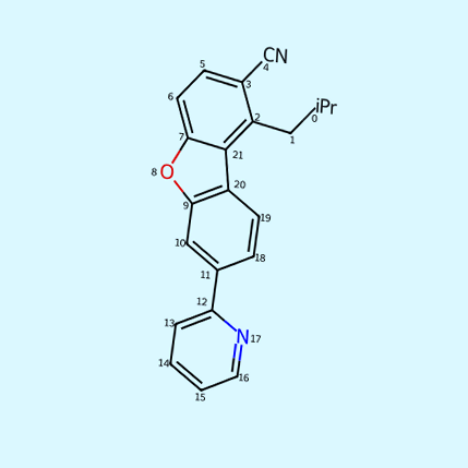 CC(C)Cc1c(C#N)ccc2oc3cc(-c4ccccn4)ccc3c12